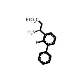 CCOC(=O)C[C@H](N)c1cccc(-c2ccccc2)c1F